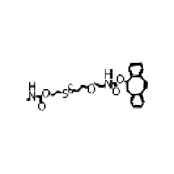 CNC(=O)OCCSSCCOCCNC(=O)OC1Cc2ccccc2C#Cc2ccccc21